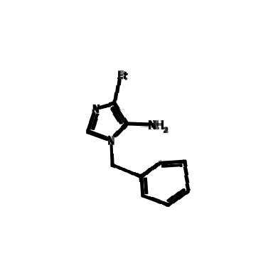 CCc1ncn(Cc2ccccc2)c1N